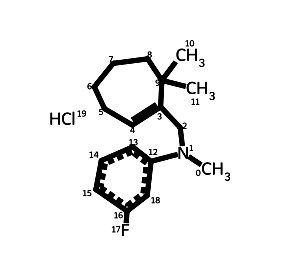 CN(CC1=CCCCCC1(C)C)c1cccc(F)c1.Cl